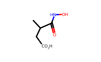 CC(CC(=O)O)C(=O)NO